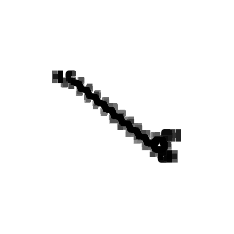 CCCCCCCCCCCCCCCCCCCCc1cc(O)cc(O)c1